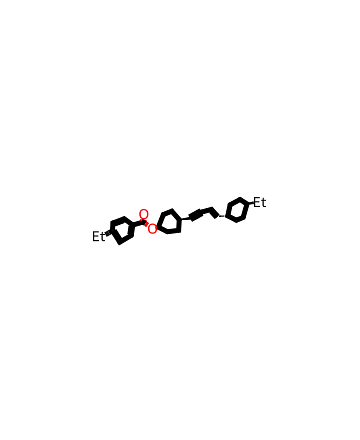 CCc1ccc(C(=O)O[C@H]2CC[C@H](C#C/C=C/[C@H]3CC[C@H](CC)CC3)CC2)cc1